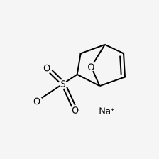 O=S(=O)([O-])C1CC2C=CC1O2.[Na+]